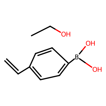 C=Cc1ccc(B(O)O)cc1.CCO